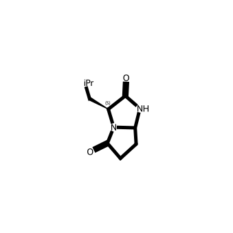 CC(C)C[C@H]1C(=O)NC2CCC(=O)N21